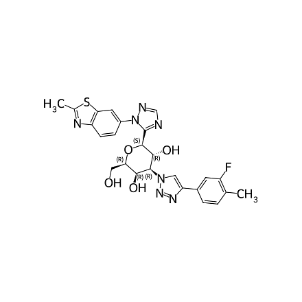 Cc1nc2ccc(-n3ncnc3[C@@H]3O[C@H](CO)[C@H](O)[C@H](n4cc(-c5ccc(C)c(F)c5)nn4)[C@H]3O)cc2s1